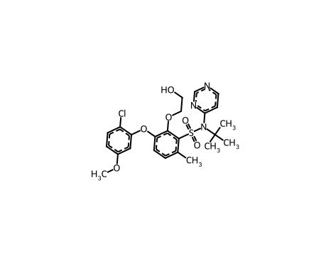 COc1ccc(Cl)c(Oc2ccc(C)c(S(=O)(=O)N(c3ccncn3)C(C)(C)C)c2OCCO)c1